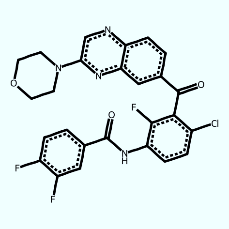 O=C(Nc1ccc(Cl)c(C(=O)c2ccc3ncc(N4CCOCC4)nc3c2)c1F)c1ccc(F)c(F)c1